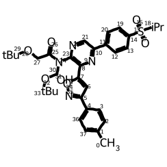 Cc1ccc(-c2cc(-c3nc(-c4ccc(S(=O)(=O)C(C)C)cc4)cnc3N(C(=O)COC(C)(C)C)C(O)OC(C)(C)C)on2)cc1